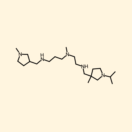 CC(C)N1CCC(C)(CNCCN(C)CCCNCC2CCN(C)C2)C1